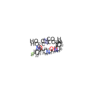 O=C(O)/C=C/C(=O)O.O=C(O)/C=C/C(=O)O.OC(CN1CCC(c2onc3cc(F)ccc23)CC1)CN1CCc2ccccc2C1